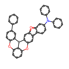 c1ccc(-c2ccc3c(c2)B2c4cc5oc6cc(N(c7ccccc7)c7ccccc7)ccc6c5cc4Oc4cccc(c42)O3)cc1